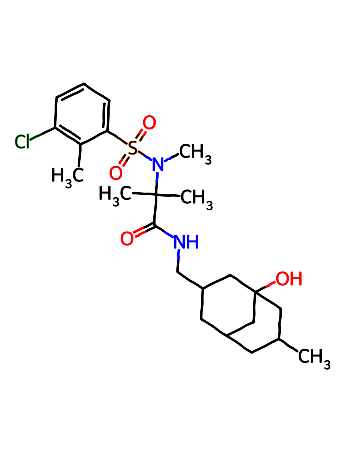 Cc1c(Cl)cccc1S(=O)(=O)N(C)C(C)(C)C(=O)NCC1CC2CC(C)CC(O)(C1)C2